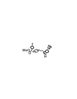 COC(=O)C(CN1CCN(CCCc2c[nH]c3ccc(-n4cnnc4)cc23)CC1)c1ccc(F)cc1